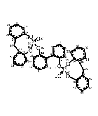 O=P1(Oc2ccccc2-c2ccccc2OP2(=O)Oc3ccccc3Cc3ccccc3O2)Oc2ccccc2Cc2ccccc2O1